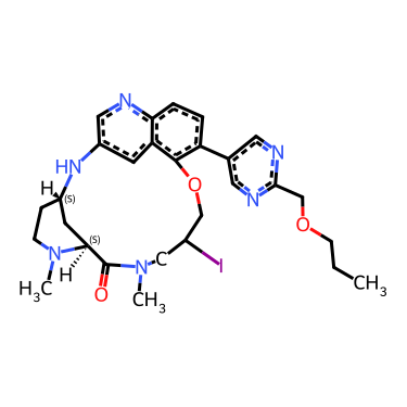 CCCOCc1ncc(-c2ccc3ncc4cc3c2OCC(I)CN(C)C(=O)[C@@H]2C[C@H](CCN2C)N4)cn1